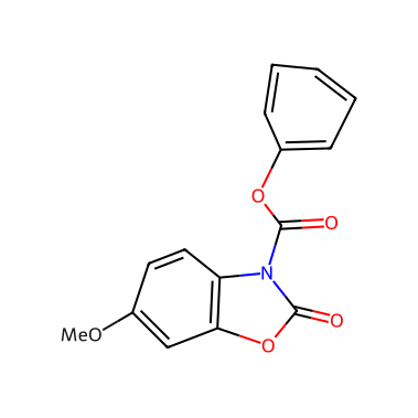 COc1ccc2c(c1)oc(=O)n2C(=O)Oc1ccccc1